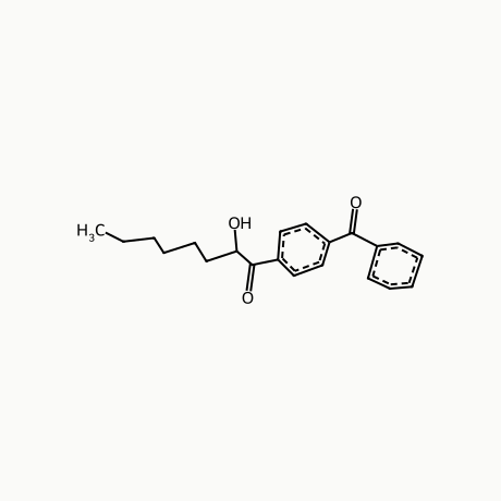 CCCCCCC(O)C(=O)c1ccc(C(=O)c2ccccc2)cc1